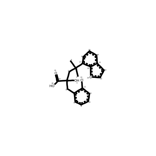 CC(C)(CC(O)(Cc1ccccc1Cl)C(=O)O)c1cccc2ccoc12